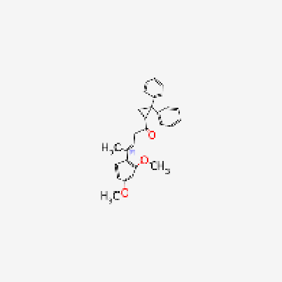 COc1ccc(/C(C)=C/CC(=O)C2CC2(c2ccccc2)c2ccccc2)c(OC)c1